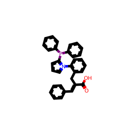 O=C(O)/C(=C/c1ccccc1)Cc1ccccc1-n1cccc1P(c1ccccc1)c1ccccc1